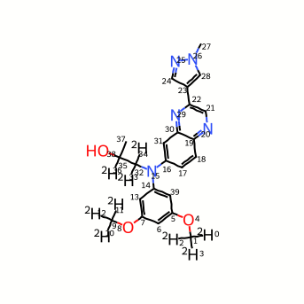 [2H]C([2H])([2H])Oc1cc(OC([2H])([2H])[2H])cc(N(c2ccc3ncc(-c4cnn(C)c4)nc3c2)C([2H])([2H])C([2H])(C)O)c1